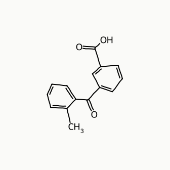 Cc1ccccc1C(=O)c1cccc(C(=O)O)c1